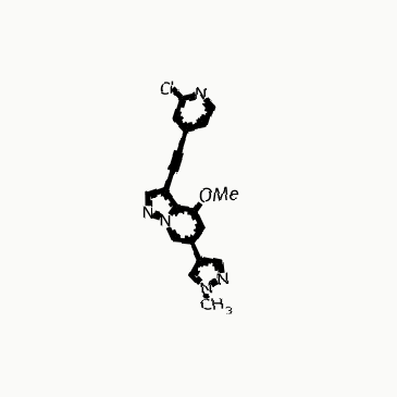 COc1cc(-c2cnn(C)c2)cn2ncc(C#Cc3ccnc(Cl)c3)c12